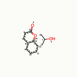 CC(C)O.O=c1ccc2ccccc2o1